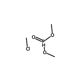 CCl.CO[PH](=O)OC